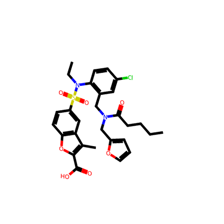 CCCCC(=O)N(Cc1ccco1)Cc1cc(Cl)ccc1N(CC)S(=O)(=O)c1ccc2oc(C(=O)O)c(C)c2c1